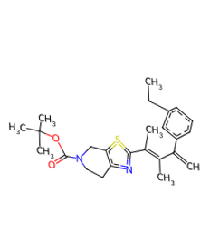 C=C(/C(C)=C(\C)c1nc2c(s1)CN(C(=O)OC(C)(C)C)CC2)c1cccc(CC)c1